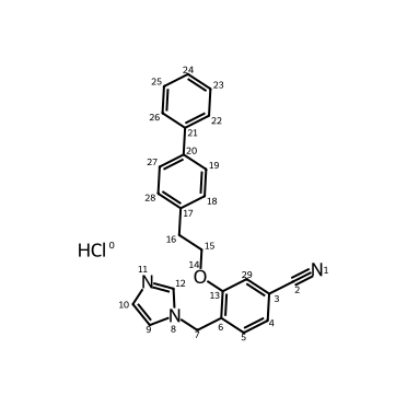 Cl.N#Cc1ccc(Cn2ccnc2)c(OCCc2ccc(-c3ccccc3)cc2)c1